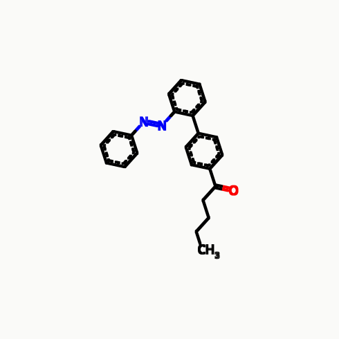 CCCCC(=O)c1ccc(-c2ccccc2N=Nc2ccccc2)cc1